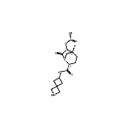 O=C(NC1CC2(CNC2)C1)[C@@H]1CC[C@@H]2CN1C(=O)N2OS(=O)O